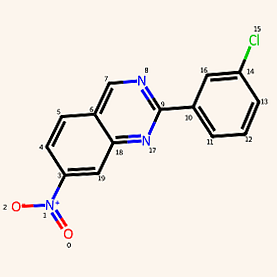 O=[N+]([O-])c1ccc2cnc(-c3cccc(Cl)c3)nc2c1